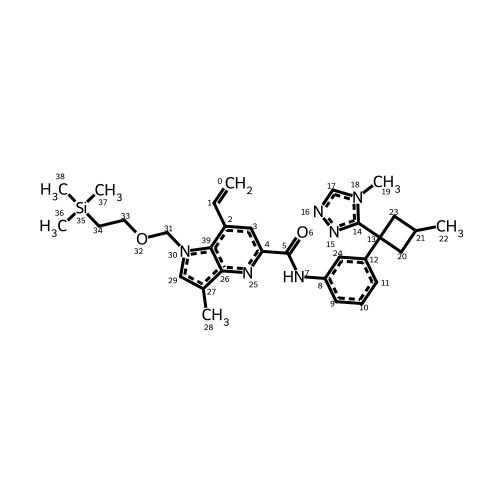 C=Cc1cc(C(=O)Nc2cccc(C3(c4nncn4C)CC(C)C3)c2)nc2c(C)cn(COCC[Si](C)(C)C)c12